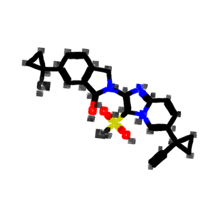 C#CC1(c2ccc3nc(N4Cc5ccc(C6(C#N)CC6)cc5C4=O)c(S(=O)(=O)CC)n3c2)CC1